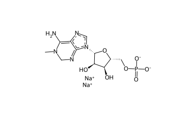 CN1CN=c2c(ncn2[C@@H]2O[C@H](COP(=O)([O-])[O-])[C@@H](O)[C@H]2O)=C1N.[Na+].[Na+]